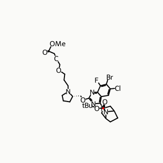 COC(=O)CCCOCCCN1CCC[C@H]1COc1nc(N2CC3CCC(C2)N3C(=O)OC(C)(C)C)c2cc(Cl)c(Br)c(F)c2n1